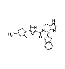 Cc1cc(P)ccc1-c1nnc(C(=O)N2CCc3[nH]cnc3[C@H]2c2cc3ccccn3n2)o1